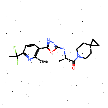 COc1nc(C(C)(F)F)ccc1-c1nnc(N[C@H](C)C(=O)N2CCC3(CC2)CC3)o1